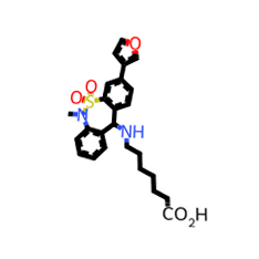 CN1c2ccccc2C(NCCCCCCC(=O)O)c2ccc(-c3ccoc3)cc2S1(=O)=O